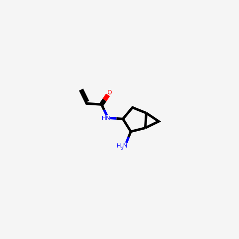 C=CC(=O)NC1CC2CC2C1N